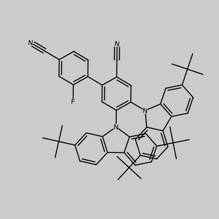 CC(C)(C)c1ccc2c3ccc(C(C)(C)C)cc3n(-c3cc(C#N)c(-c4ccc(C#N)cc4F)cc3-n3c4cc(C(C)(C)C)ccc4c4ccc(C(C)(C)C)cc43)c2c1